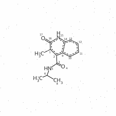 Cc1c(C(=O)NC(C)C)c2ccccc2[nH]c1=O